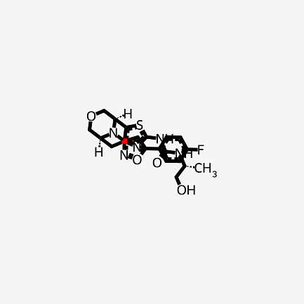 C[C@H](CO)NC(=O)Nc1nc2c(s1)[C@@H]1COC[C@H](C2)N1c1cc(-c2ccc(F)cc2)on1